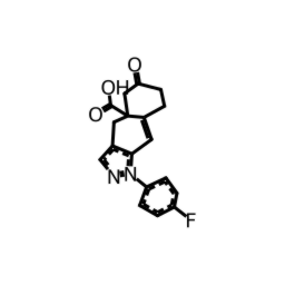 O=C1CCC2=Cc3c(cnn3-c3ccc(F)cc3)CC2(C(=O)O)C1